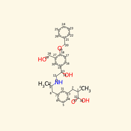 CC(Cc1cccc(C[C@@H](C)NC[C@H](O)c2ccc(OCc3ccccc3)c(CO)c2)c1)C(=O)O